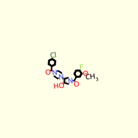 COc1cc(C(=O)N2C[C@H](O)[C@@H](N3CCN(C(=O)c4ccc(Cl)cc4)CC3)C2)ccc1F